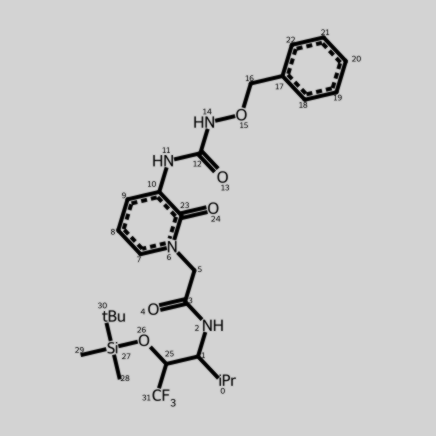 CC(C)C(NC(=O)Cn1cccc(NC(=O)NOCc2ccccc2)c1=O)C(O[Si](C)(C)C(C)(C)C)C(F)(F)F